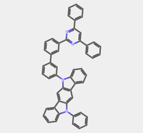 c1ccc(-c2cc(-c3ccccc3)nc(-c3cccc(-c4cccc(-n5c6ccccc6c6cc7c(cc65)c5ccccc5n7-c5ccccc5)c4)c3)n2)cc1